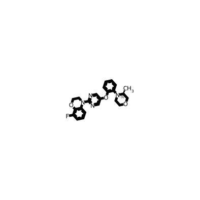 C[C@H]1COCCN1c1ccccc1Oc1cnc(N2CCOc3c(F)cccc32)nc1